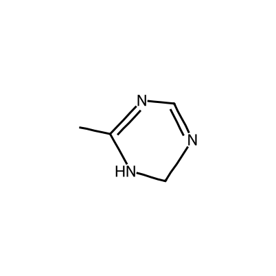 CC1=NC=NCN1